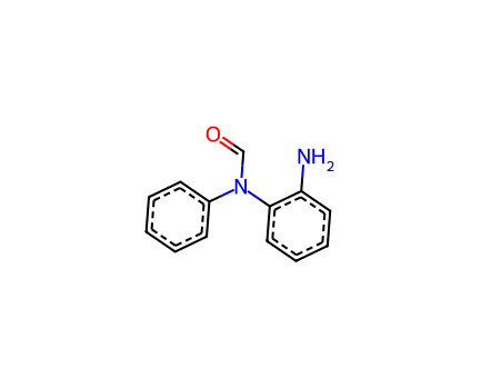 Nc1ccccc1N(C=O)c1ccccc1